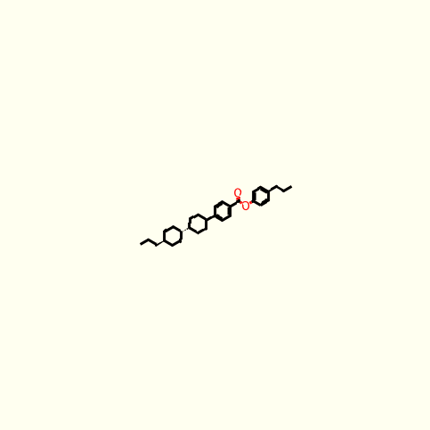 CCCc1ccc(OC(=O)c2ccc(C3CCC([C@H]4CC[C@H](CCC)CC4)CC3)cc2)cc1